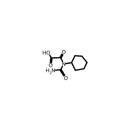 NC(=O)N(C(=O)C(=O)O)C1CCCCC1